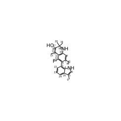 Cc1c[nH]c2c(-c3c(F)cc4c(c3F)[C@@H](C)[C@H](O)C(C)(C)N4)cccc12